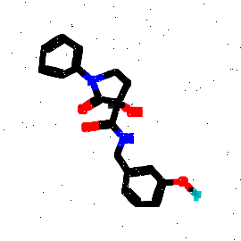 O=C(NCc1cccc(OF)c1)[C@@]1(O)CCN(c2ccccc2)C1=O